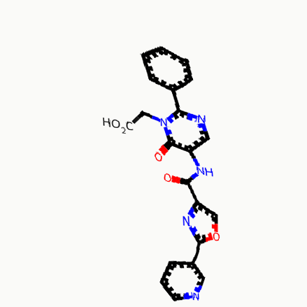 O=C(O)Cn1c(-c2ccccc2)ncc(NC(=O)c2coc(-c3cccnc3)n2)c1=O